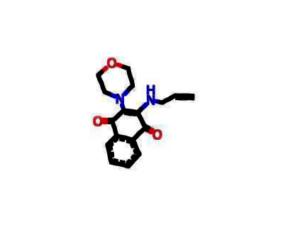 C=CCNC1=C(N2CCOCC2)C(=O)c2ccccc2C1=O